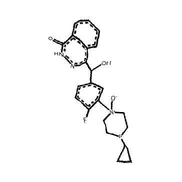 O=c1[nH]nc(C(O)c2ccc(F)c([N+]3([O-])CCP(C4CC4)CC3)c2)c2ccccc12